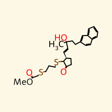 COC(=O)CSCCCSC1C(=O)CC[C@@H]1C=CC(C)(O)CCc1ccc2ccccc2c1